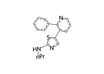 CCCNc1ncc(-c2cccnc2-c2ccccc2)s1